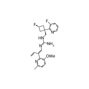 C=C/C(=C\N=C(/N)NC[C@]1(c2ncccc2F)C[C@H](F)C1)c1nc(C)ccc1OC